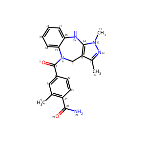 Cc1cc(C(=O)N2Cc3c(C)nn(C)c3Nc3ccccc32)ccc1C(N)=O